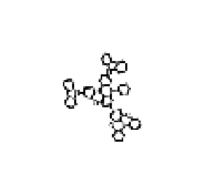 c1ccc(N2c3cc(-n4c5ccccc5c5ccccc54)ccc3B3c4ccc(-n5c6ccccc6c6ccccc65)cc4Oc4cc(-c5cc6c7c(c5)Oc5ccccc5B7c5ccccc5O6)cc2c43)cc1